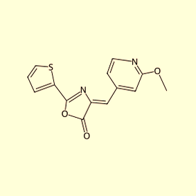 COc1cc(/C=C2\N=C(c3cccs3)OC2=O)ccn1